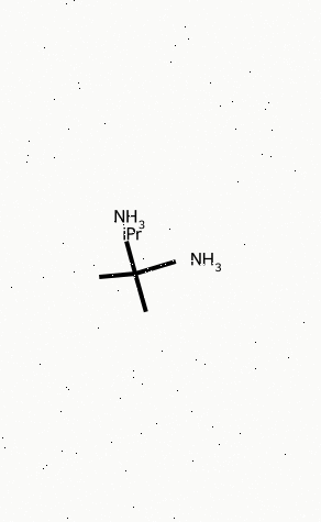 CC(C)C(C)(C)C.N.N